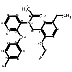 CCc1ccc(OCF)c(CN(C(C)=O)c2cccnc2Oc2ccc(I)cc2)c1